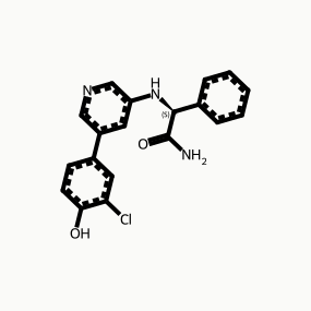 NC(=O)[C@@H](Nc1cncc(-c2ccc(O)c(Cl)c2)c1)c1ccccc1